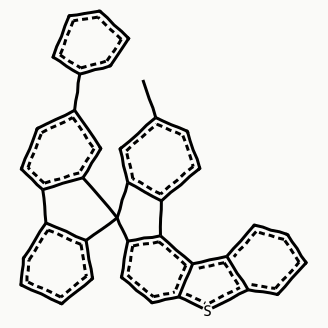 Cc1ccc2c(c1)C1(c3ccccc3-c3ccc(-c4ccccc4)cc31)c1ccc3sc4ccccc4c3c1-2